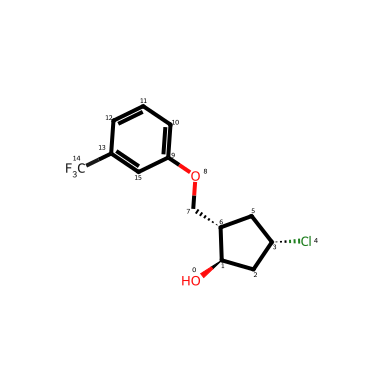 O[C@@H]1C[C@@H](Cl)C[C@H]1COc1cccc(C(F)(F)F)c1